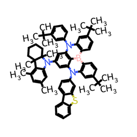 Cc1cc(C)c2c(c1)N(c1cc3c4c(c1)N(c1ccc5c(c1)sc1ccccc15)c1cc(C(C)(C)C)ccc1B4c1ccc(C(C)(C)C)cc1N3c1cccc(C(C)(C)C)c1)C1(C)CCCCC21C